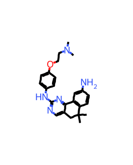 CN(C)CCOc1ccc(Nc2ncc3c(n2)-c2cc(N)ccc2C(C)(C)C3)cc1